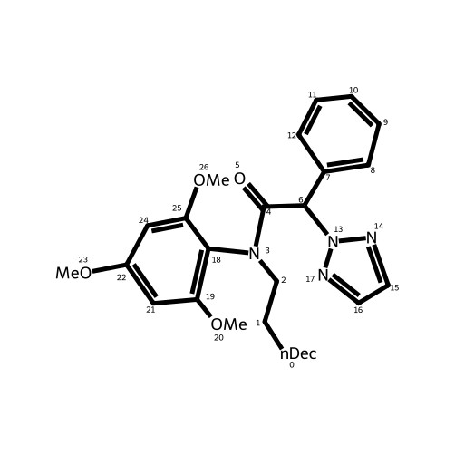 CCCCCCCCCCCCN(C(=O)C(c1ccccc1)n1nccn1)c1c(OC)cc(OC)cc1OC